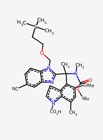 COc1cc(C)c2c(ccn2C(=O)O)c1C(C)(c1nc2cc(C#N)ccc2n1COCC[Si](C)(C)C)N(C)C(=O)OC(C)(C)C